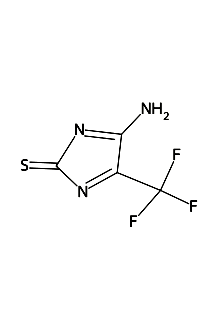 NC1=NC(=S)N=C1C(F)(F)F